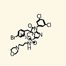 C[C@@]1(Cc2ccc(Br)cc2)C(=O)N(c2cc(Cl)cc(Cl)c2)c2ncc(S(=O)(=O)NCCCN3CCOCC3)n21